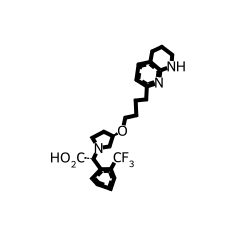 O=C(O)[C@@H](c1ccccc1C(F)(F)F)N1CC[C@@H](OCCCCc2ccc3c(n2)NCCC3)C1